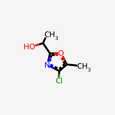 Cc1oc(C(C)O)nc1Cl